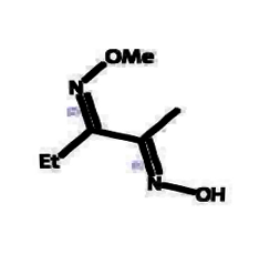 CCC(=N/OC)/C(C)=N/O